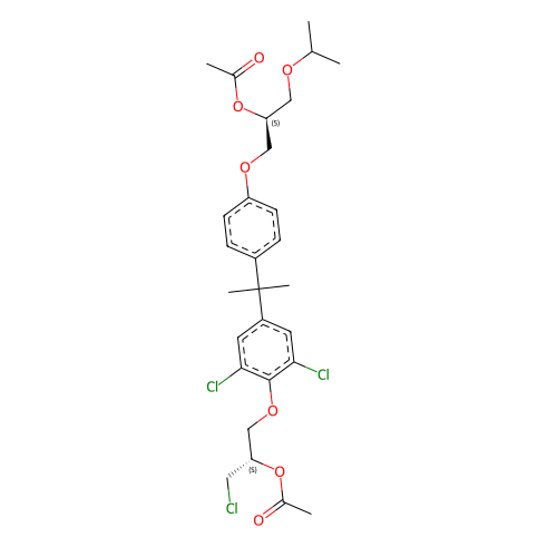 CC(=O)O[C@H](CCl)COc1c(Cl)cc(C(C)(C)c2ccc(OC[C@H](COC(C)C)OC(C)=O)cc2)cc1Cl